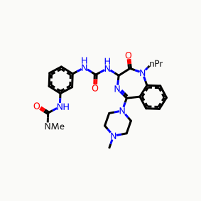 CCCN1C(=O)C(NC(=O)Nc2cccc(NC(=O)NC)c2)N=C(N2CCN(C)CC2)c2ccccc21